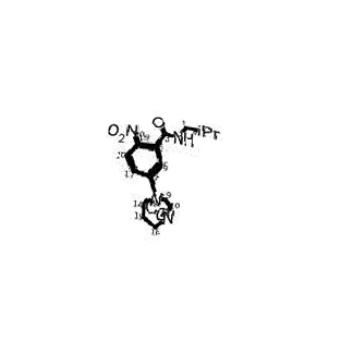 CC(C)CNC(=O)c1cc(N2CCN3CCC2CC3)ccc1[N+](=O)[O-]